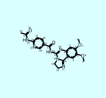 COc1cc2c(cc1OC)C1=NCCN1C(NC(=O)c1ccc(NC(C)=O)nc1)=N2